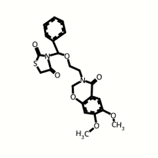 COc1cc2c(cc1OC)C(=O)N(CCOC(c1ccccc1)N1C(=O)CSC1=O)CO2